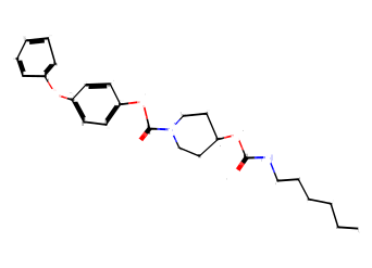 CCCCCCNC(=O)OC1CCN(C(=O)Oc2ccc(Oc3ccccc3)cc2)CC1